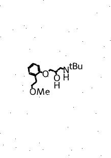 COCCc1ccccc1OCC(O)CNC(C)(C)C